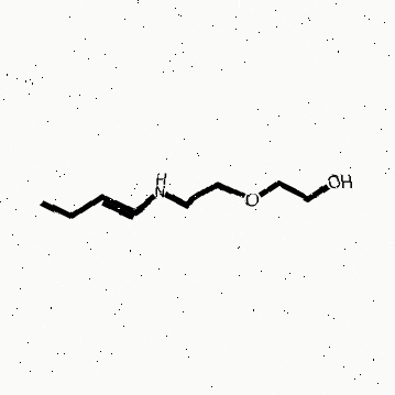 CC/C=C/NCCOCCO